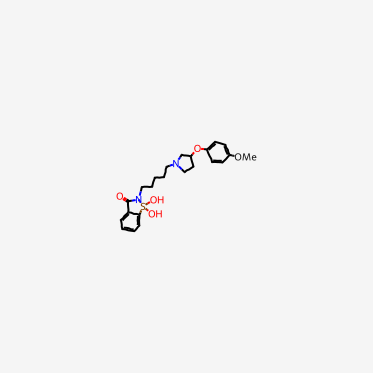 COc1ccc(OC2CCN(CCCCCN3C(=O)c4ccccc4S3(O)O)C2)cc1